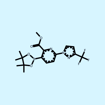 COC(=O)c1nc(-n2ccc(C(F)(F)F)n2)ccc1B1OC(C)(C)C(C)(C)O1